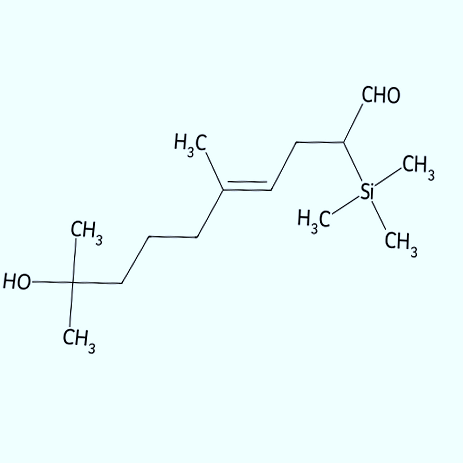 C/C(=C\CC(C=O)[Si](C)(C)C)CCCC(C)(C)O